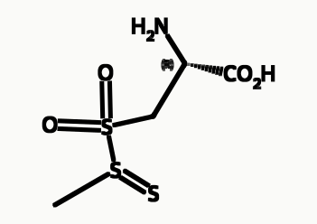 CS(=S)S(=O)(=O)C[C@H](N)C(=O)O